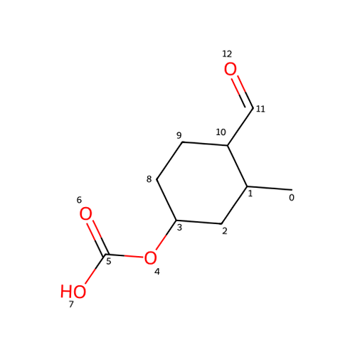 CC1CC(OC(=O)O)CCC1C=O